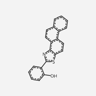 Oc1ccccc1-c1nc2c(ccc3c4ccccc4ccc32)s1